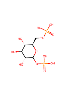 O=P(O)(O)OC[C@H]1OC(OP(=O)(O)O)[C@H](O)[C@@H](O)[C@@H]1O